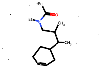 CCN(CC(C)C(C)C1CC=CCC1)C(=O)C(C)(C)C